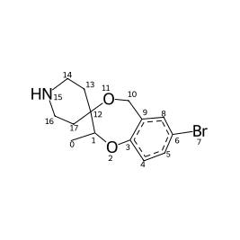 CC1Oc2ccc(Br)cc2COC12CCNCC2